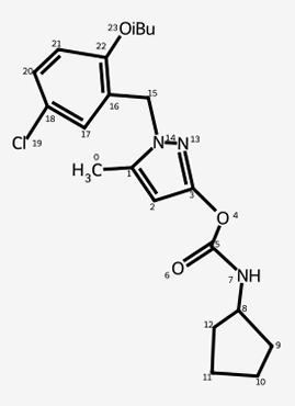 Cc1cc(OC(=O)NC2CCCC2)nn1Cc1cc(Cl)ccc1OCC(C)C